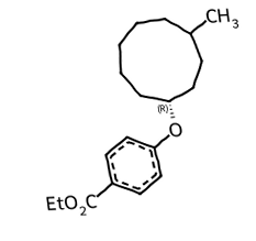 CCOC(=O)c1ccc(O[C@@H]2CCCCCC(C)CC2)cc1